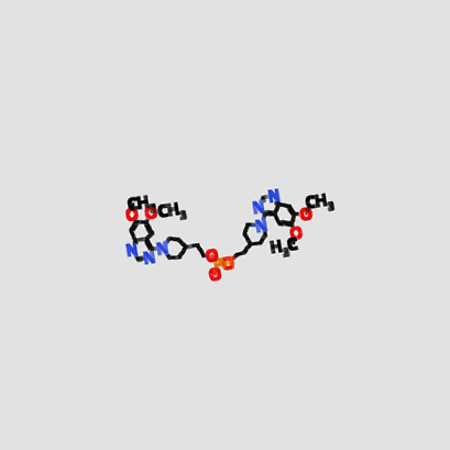 COc1cc2ncnc(N3CCC(CCO[PH](=O)OCCC4CCN(c5ncnc6cc(OC)c(OC)cc56)CC4)CC3)c2cc1OC